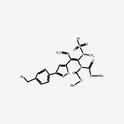 C=N/C(=C(/N(C(=O)OC(C)(C)C)C(=O)OC(C)(C)C)N(C)S(=O)(=O)C(C)C)c1cc(-c2ccc(CBr)cc2)no1